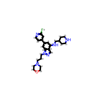 Fc1cc(-c2cc(NCC3CCNCC3)c3cnn(CCCN4CCOCC4)c3c2)ccn1